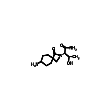 C[C@@H](O)[C@@H](C(N)=O)N1CC2(CCC(N)CC2)C1=O